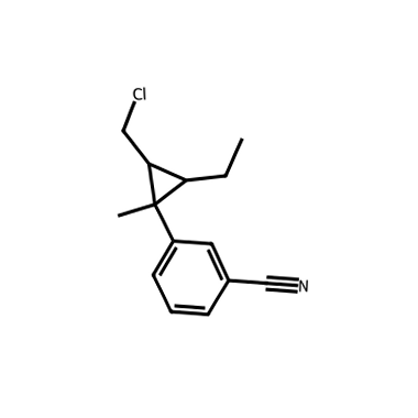 CCC1C(CCl)C1(C)c1cccc(C#N)c1